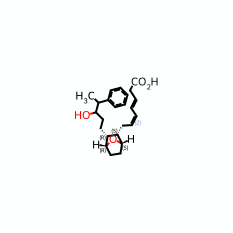 CC(c1ccccc1)C(O)CC[C@@H]1[C@H](C/C=C\C=CCC(=O)O)[C@@H]2CC[C@H]1O2